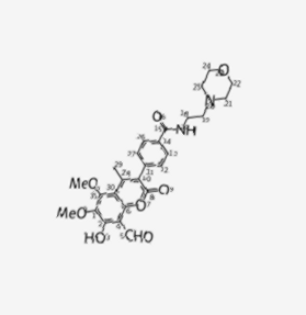 COc1c(O)c(C=O)c2oc(=O)c(-c3ccc(C(=O)NCCN4CCOCC4)cc3)c(C)c2c1OC